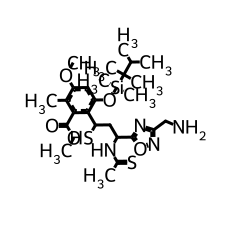 COC(=O)c1c(C)c(OC)cc(O[Si](C)(C)C(C)(C)C(C)C)c1C(S)CC(NC(C)=S)c1nc(CN)no1